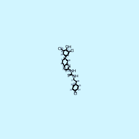 Oc1c(Cl)cc(-c2ccc3ncc(NC(=S)NCCc4ccc(Cl)cc4)nc3c2)cc1Cl